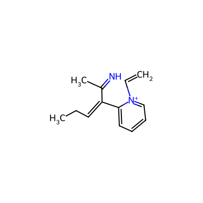 C=C[n+]1ccccc1/C(=C/CC)C(C)=N